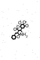 COC(=O)C(C(=Cc1ccccc1)C(N)=O)=C(C)c1cc(OC)c(OC)c(OC)c1